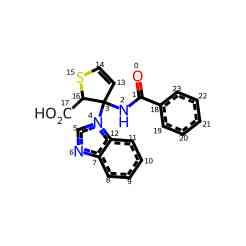 O=C(NC1(n2cnc3ccccc32)C=CSC1C(=O)O)c1ccccc1